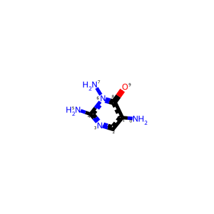 Nc1cnc(N)n(N)c1=O